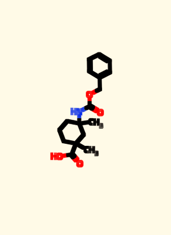 CC1(NC(=O)OCc2ccccc2)CCCC(C)(C(=O)O)C1